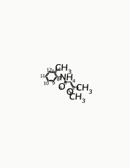 CO/C(C)=C\C(=O)Nc1ccccc1C